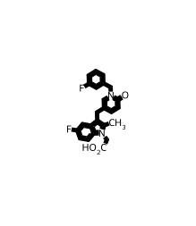 Cc1c(Cc2ccc(=O)n(Cc3cccc(F)c3)c2)c2cc(F)ccc2n1CC(=O)O